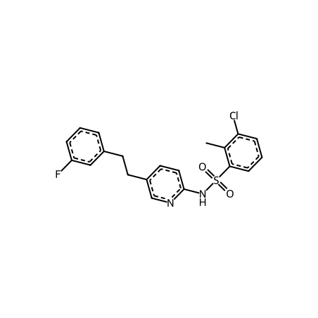 Cc1c(Cl)cccc1S(=O)(=O)Nc1ccc(CCc2cccc(F)c2)cn1